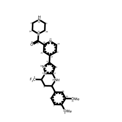 COc1ccc(C2CC(C(F)(F)F)n3nc(-c4ccnc(C(=O)N5CCNCC5)c4)cc3N2)cc1OC